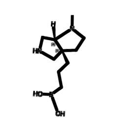 CN1CC[C@]2(CCCB(O)O)CNC[C@H]12